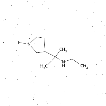 CCNC(C)(C)C1CCN(I)C1